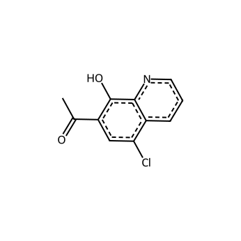 CC(=O)c1cc(Cl)c2cccnc2c1O